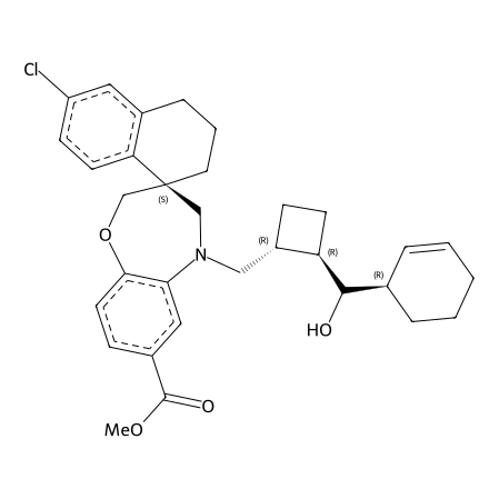 COC(=O)c1ccc2c(c1)N(C[C@@H]1CC[C@H]1C(O)[C@H]1C=CCCC1)C[C@@]1(CCCc3cc(Cl)ccc31)CO2